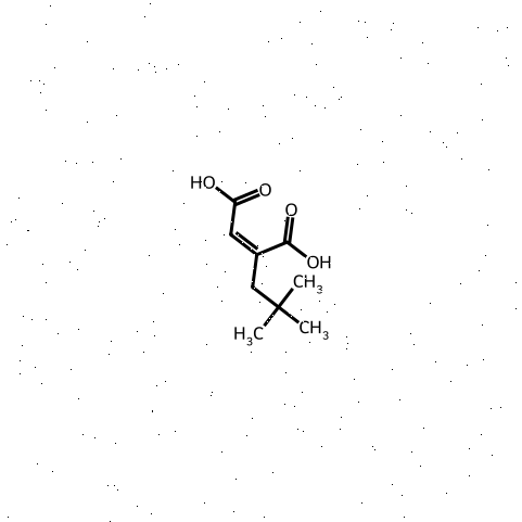 CC(C)(C)C/C(=C/C(=O)O)C(=O)O